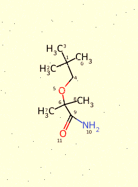 CC(C)(C)COC(C)(C)C(N)=O